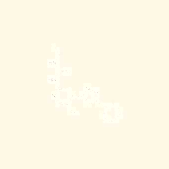 CCNC(=O)Nc1cc(-c2nnc(-c3ccccc3)o2)c(Br)cn1